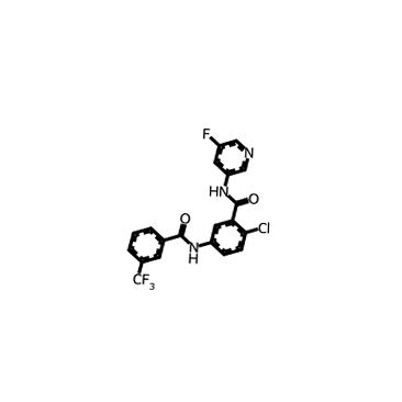 O=C(Nc1ccc(Cl)c(C(=O)Nc2cncc(F)c2)c1)c1cccc(C(F)(F)F)c1